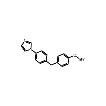 CCCOc1ccc(Cc2ccc(-n3ccnc3)cc2)cc1